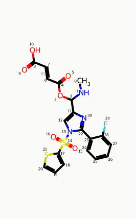 CNC(OC(=O)/C=C/C(=O)O)c1cn(S(=O)(=O)c2cccs2)c(-c2ccccc2F)n1